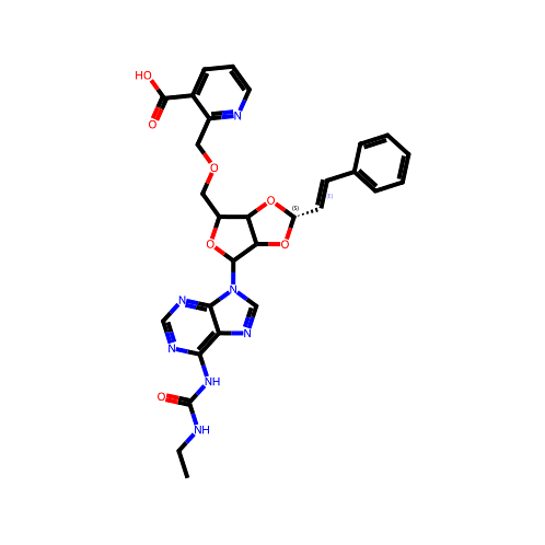 CCNC(=O)Nc1ncnc2c1ncn2C1OC(COCc2ncccc2C(=O)O)C2O[C@H](/C=C/c3ccccc3)OC21